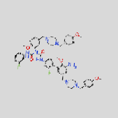 COc1ccc(CN2CCN(Cc3cc(N)c(OC)c(-c4ccc(NC(=O)N(C(=O)Nc5cccc(F)c5)c5cc(CN6CCN(Cc7ccc(OC)cc7)CC6)ccc5OC)cc4F)c3)CC2)cc1